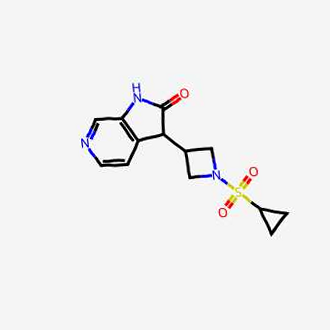 O=C1Nc2cnccc2C1C1CN(S(=O)(=O)C2CC2)C1